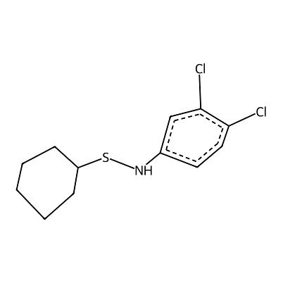 Clc1ccc(NSC2CCCCC2)cc1Cl